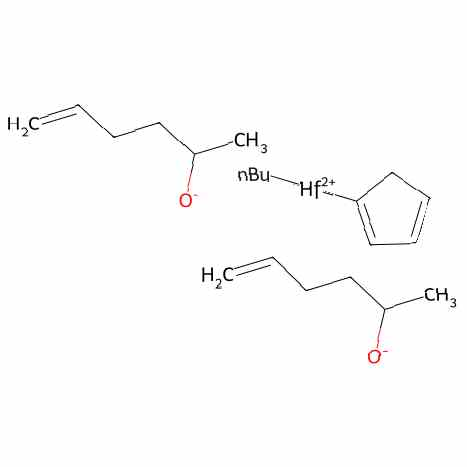 C=CCCC(C)[O-].C=CCCC(C)[O-].CCC[CH2][Hf+2][C]1=CC=CC1